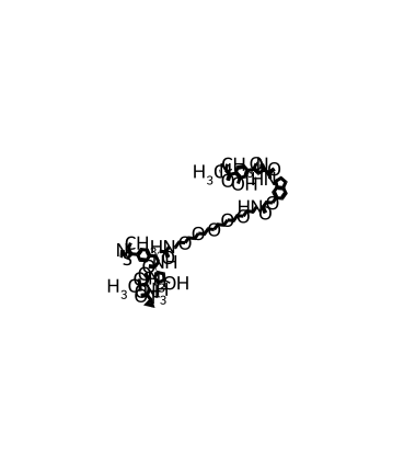 Cc1ncsc1-c1ccc([C@H](CC(=O)NCCOCCOCCOCCOCCOCCNC(=O)COc2ccc3c(c2)[C@H](NC(=O)c2cc(-c4ccc(C(=O)N(C)C)c(O)c4)on2)CC3)NC(=O)[C@@H]2C[C@@H](O)CN2C(=O)[C@@H](NC(=O)C2(F)CC2)C(C)(C)C)cc1